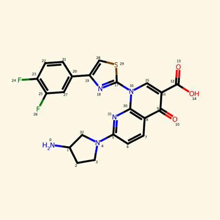 NC1CCN(c2ccc3c(=O)c(C(=O)O)cn(-c4nc(-c5ccc(F)c(F)c5)cs4)c3n2)C1